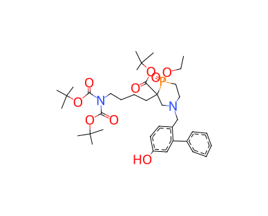 CCOP1(=O)CCN(Cc2ccc(O)cc2-c2ccccc2)CC1(CCCCN(C(=O)OC(C)(C)C)C(=O)OC(C)(C)C)C(=O)OC(C)(C)C